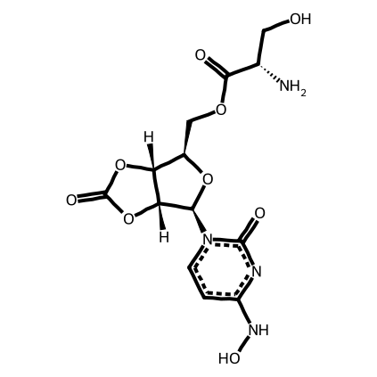 N[C@@H](CO)C(=O)OC[C@H]1O[C@@H](n2ccc(NO)nc2=O)[C@@H]2OC(=O)O[C@@H]21